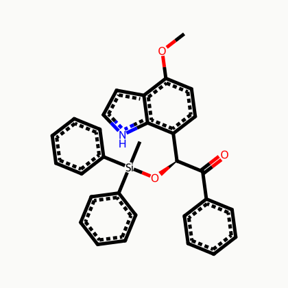 COc1ccc([C@H](O[Si](C)(c2ccccc2)c2ccccc2)C(=O)c2ccccc2)c2[nH]ccc12